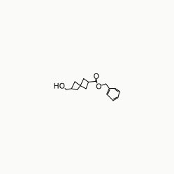 O=C(OCc1ccccc1)C1CC2(CC(CO)C2)C1